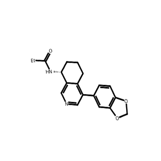 CCC(=O)N[C@@H]1CCCc2c(-c3ccc4c(c3)OCO4)cncc21